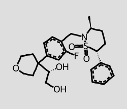 C[C@H]1CC[C@H](c2ccccc2)S(=O)(=O)N1Cc1ccc(C2([C@H](O)CO)CCOCC2)cc1F